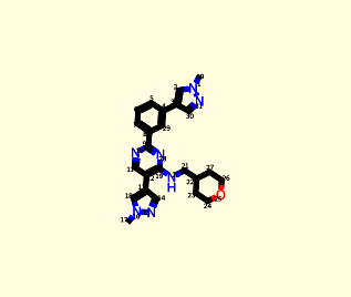 Cn1cc(-c2cccc(-c3ncc(-c4cnn(C)c4)c(NCC4CCOCC4)n3)c2)cn1